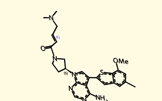 COc1cc(C)cc2cc(-c3cn([C@H]4CCN(C(=O)/C=C/CN(C)C)C4)c4ncnc(N)c34)sc12